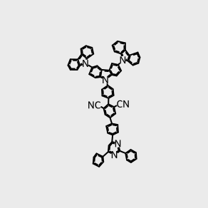 N#Cc1cc(-c2ccc(-c3cc(-c4ccccc4)nc(-c4ccccc4)n3)cc2)cc(C#N)c1-c1ccc(-n2c3ccc(-n4c5ccccc5c5ccccc54)cc3c3cc(-n4c5ccccc5c5ccccc54)ccc32)cc1